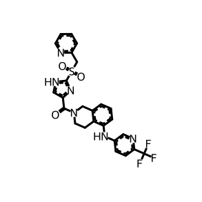 O=C(c1c[nH]c(S(=O)(=O)Cc2ccccn2)n1)N1CCc2c(cccc2Nc2ccc(C(F)(F)F)nc2)C1